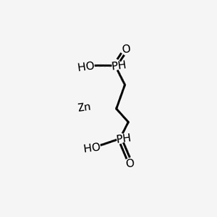 O=[PH](O)CCC[PH](=O)O.[Zn]